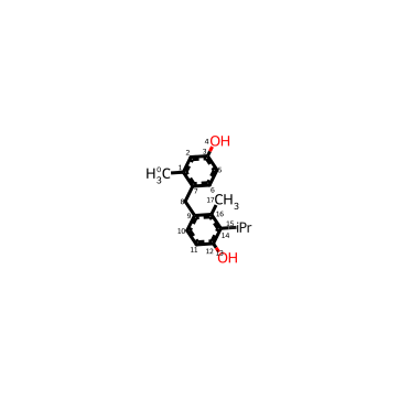 Cc1cc(O)ccc1Cc1ccc(O)c(C(C)C)c1C